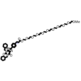 COCCOCCOCCOCCOCCOCCOCCOCCOCCOCCOC(=O)/C=C/c1ccc(-c2nc3c(=O)n(CC4CCCCC4)c(=O)n(CC4CCCCC4)c3[nH]2)cc1